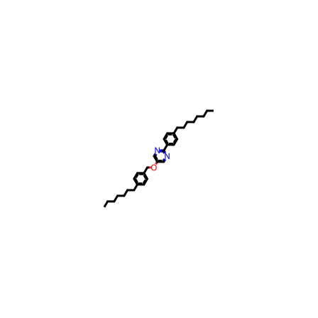 CCCCCCCCc1ccc(-c2ncc(OCc3ccc(CCCCCCC)cc3)cn2)cc1